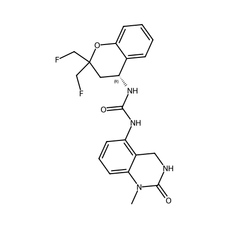 CN1C(=O)NCc2c(NC(=O)N[C@@H]3CC(CF)(CF)Oc4ccccc43)cccc21